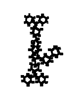 c1ccc(N(c2ccccc2)c2ccc(-c3cc4cc5c(cc(-c6ccc(N(c7ccccc7)c7ccccc7)cc6)n5-c5cccc(-c6cccnc6)c5)cc4o3)cc2)cc1